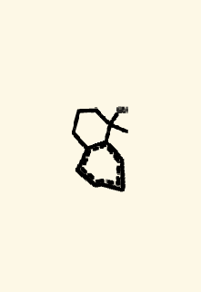 CC1(O)[CH]CCc2ccccc21